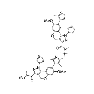 COc1cc2c(cc1-c1ccsc1C)-c1c(c(C(=O)N(C)C(C)(C)Cc3nn(C)c(-c4cc5c(cc4OC)OCc4c(C(=O)N(C)C(C)(C)C)nn(-c6ccsc6)c4-5)c3C)nn1-c1ccsc1)CO2